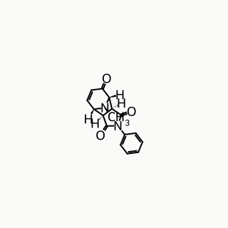 CN1[C@@H]2C(=O)C=C[C@H]1[C@@H]1C(=O)N(c3ccccc3)C(=O)[C@@H]12